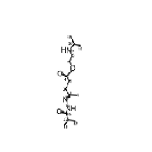 C/C(CCC(=O)OCCNC(C)C)=N\NC(=O)C(C)C